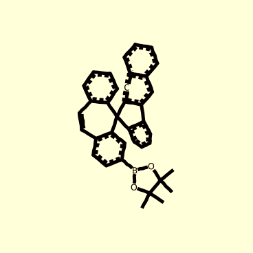 CC1(C)OB(c2ccc3c(c2)C2(c4ccccc4C=C3)c3ccccc3-c3cc4ccccc4cc32)OC1(C)C